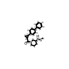 CSNC1CCCN(C(=O)C2CC2c2ccc(-c3ccccc3)cc2)C1